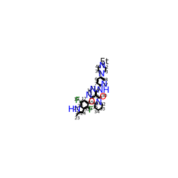 CCN1CCN(c2ccc(Nc3ncnc(Oc4cc(F)c5[nH]c(C)cc5c4F)c3C(=O)N3CCCCC3)nc2)CC1